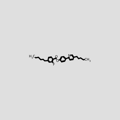 CCCCCCc1ccc(C(=O)Oc2ccc(-c3ccc(CCCCC)cn3)cc2)c(F)c1